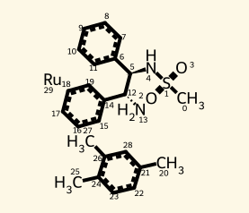 CS(=O)(=O)N[C@H](c1ccccc1)[C@H](N)c1ccccc1.Cc1ccc(C)c(C)c1.[Ru]